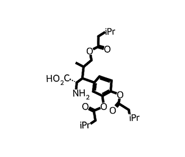 CC(C)CC(=O)OCC(C)C(c1ccc(OC(=O)CC(C)C)c(OC(=O)CC(C)C)c1)[C@H](N)C(=O)O